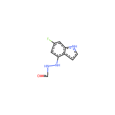 O=CNNc1cc(F)cc2[nH]ccc12